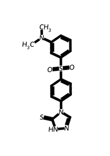 CN(C)c1cccc(S(=O)(=O)c2ccc(-n3cn[nH]c3=S)cc2)c1